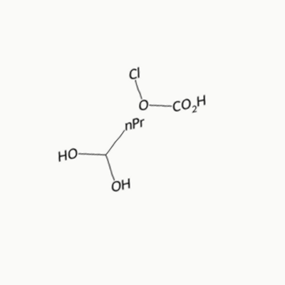 CCCC(O)O.O=C(O)OCl